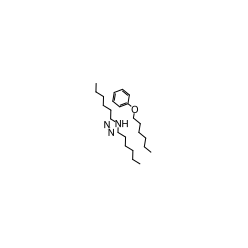 CCCCCCNCCCCCC.CCCCCCOc1ccccc1.N#N